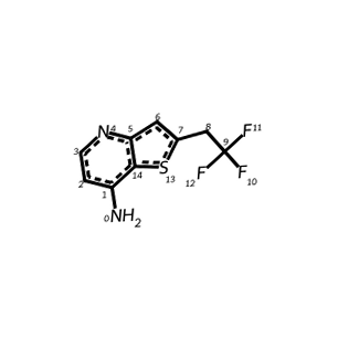 Nc1ccnc2cc(CC(F)(F)F)sc12